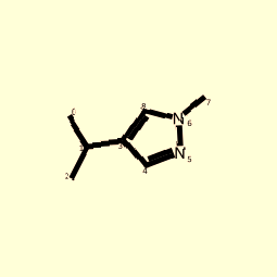 CC(C)c1cnn(C)c1